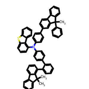 CC1(C)c2ccccc2-c2cccc(-c3ccccc3-c3ccc(N(c4ccc(-c5ccc6c(c5)C(C)(c5ccccc5)c5ccccc5-6)cc4)c4cccc5sc6ccccc6c45)cc3)c21